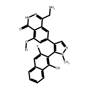 CCOc1cc(-c2cnn(C)c2-c2c(F)cc3ccccc3c2C#N)cc2c(CN)n[nH]c(=O)c12